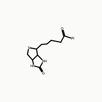 CC(C)C(=O)CCCCC1SCC2NC(=O)NC21